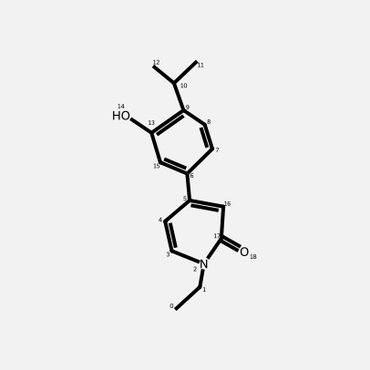 CCn1ccc(-c2ccc(C(C)C)c(O)c2)cc1=O